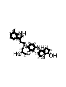 Cc1cccc2c(CCN3CC(O)COc4cc(Nc5ccnc6c5CCC6O)ccc43)c[nH]c12